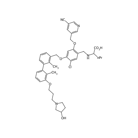 CCCC(NCc1cc(Cl)c(OCc2cccc(-c3cccc(OCCCN4CCC(O)C4)c3C)c2C)cc1OCc1cncc(C#N)c1)C(=O)O